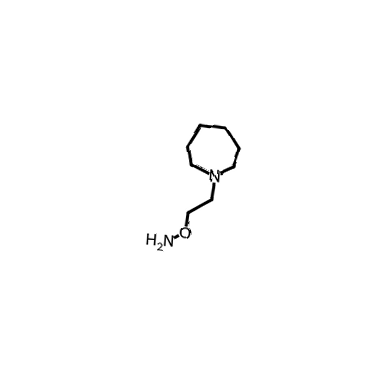 NOCCN1CCCCCC1